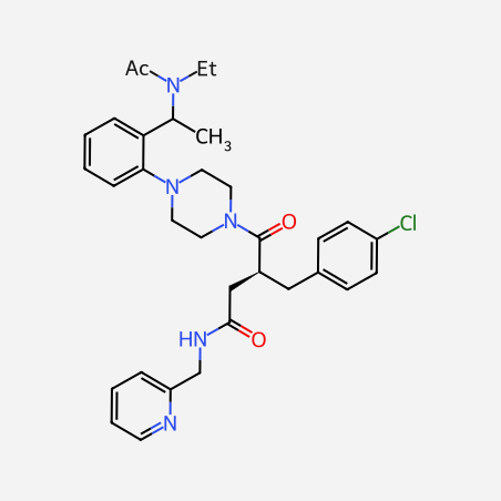 CCN(C(C)=O)C(C)c1ccccc1N1CCN(C(=O)[C@H](CC(=O)NCc2ccccn2)Cc2ccc(Cl)cc2)CC1